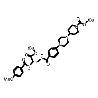 COc1ccc(C(=O)N[C@@H](CNC(=O)c2ccc(N3CCN(C4CCN(C(=O)OC(C)(C)C)CC4)CC3)cc2)C(=O)OC(C)(C)C)cc1